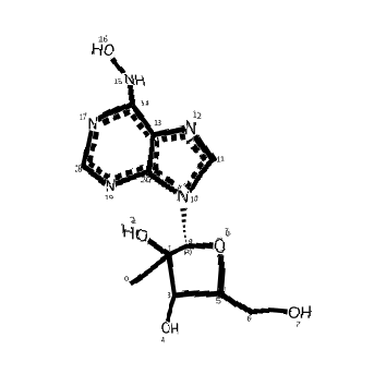 CC1(O)C(O)C(CO)O[C@H]1n1cnc2c(NO)ncnc21